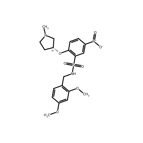 COc1ccc(CNS(=O)(=O)c2cc([N+](=O)[O-])ccc2O[C@@H]2CCN(C)C2)c(OC)c1